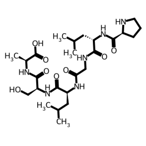 CC(C)C[C@H](NC(=O)CNC(=O)[C@H](CC(C)C)NC(=O)[C@@H]1CCCN1)C(=O)N[C@@H](CO)C(=O)N[C@@H](C)C(=O)O